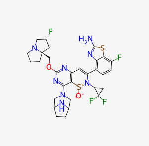 Nc1nc2c(C3=Cc4nc(OC[C@@]56CCCN5C[C@H](F)C6)nc(N5CC6CCC(C5)N6)c4[S+]([O-])N3C3CC3(F)F)ccc(F)c2s1